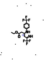 CCOC(=O)C/C(=C/C(=N)C(F)(F)F)Nc1ccc(C(F)(F)F)cc1